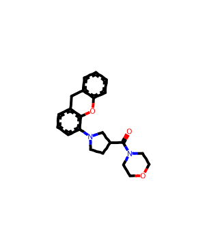 O=C(C1CCN(c2cccc3c2Oc2ccccc2C3)C1)N1CCOCC1